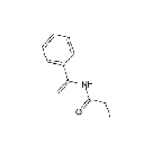 C=C(NC(=O)CC)c1ccccc1